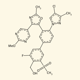 COc1ncc(-c2nc(C)oc2-c2cc(-c3cc(F)c(CO)c(S(C)(=O)=O)c3)ccc2-n2cc(Cl)c(C)n2)cn1